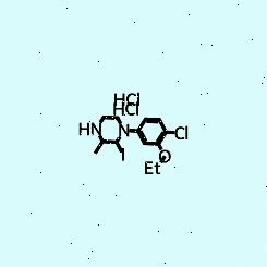 CCOc1cc(N2CCNC(C)C2I)ccc1Cl.Cl.Cl